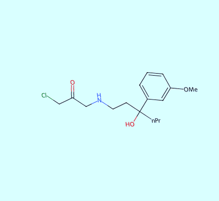 CCCC(O)(CCNCC(=O)CCl)c1cccc(OC)c1